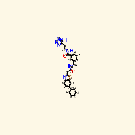 O=C(Cc1nc2ccc(-c3ccccc3)cc2s1)NCc1cccc(C(=O)NCCc2nnn[nH]2)c1